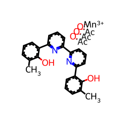 CC(=O)[O-].CC(=O)[O-].CC(=O)[O-].Cc1cccc(-c2cccc(-c3cccc(-c4cccc(C)c4O)n3)n2)c1O.[Mn+3]